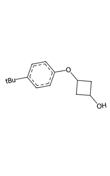 CC(C)(C)c1ccc(OC2CC(O)C2)cc1